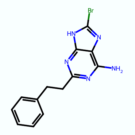 Nc1nc(CCc2ccccc2)nc2[nH]c(Br)nc12